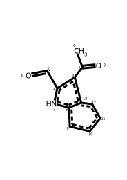 CC(=O)c1c([C]=O)[nH]c2ccccc12